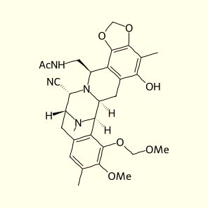 COCOc1c(OC)c(C)cc2c1[C@@H]1[C@@H]3Cc4c(O)c(C)c5c(c4[C@H](CNC(C)=O)N3[C@@H](C#N)[C@@H](C2)N1C)OCO5